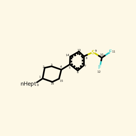 CCCCCCCC1CCC(c2ccc(SC(F)F)cc2)CC1